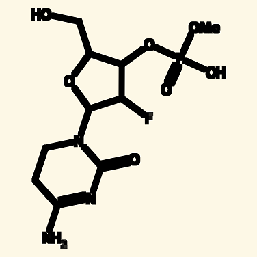 COP(=O)(O)OC1C(CO)OC(N2CCC(N)=NC2=O)C1F